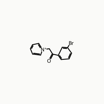 O=C(C[n+]1ccccc1)c1cccc(Br)c1